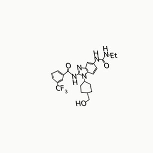 CCNC(=O)Nc1ccc2c(c1)nc(NC(=O)c1cccc(C(F)(F)F)c1)n2C1CCC(CO)CC1